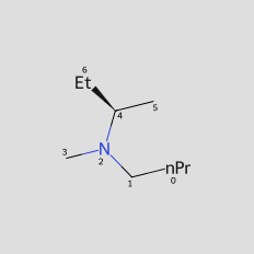 CCCCN(C)[C@H](C)CC